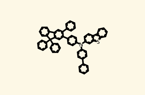 c1ccc(-c2ccc(N(c3ccc(-c4cc5c(cc4-c4ccccc4)-c4ccccc4C5(c4ccccc4)c4ccccc4)cc3)c3ccc4c(c3)sc3ccccc34)cc2)cc1